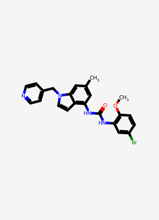 COc1ccc(Br)cc1NC(=O)Nc1cc(C)cc2c1ccn2Cc1ccncc1